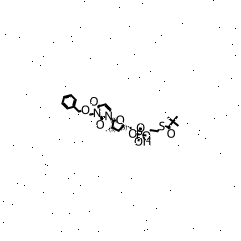 C[C@H]1C[C@@H](COP(=O)(O)OCCSC(=O)C(C)(C)C)O[C@H]1n1ccc(=O)n(COCc2ccccc2)c1=O